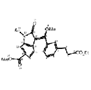 CCOC(=O)CCc1cccc(C(OC)=C2C(=O)N(C(C)=O)c3cc(C(=O)OC)ccc32)c1